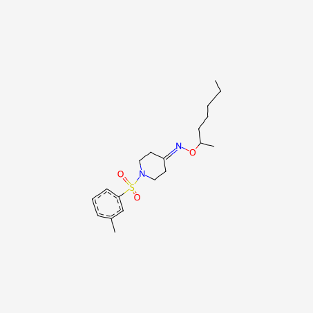 CCCCCC(C)ON=C1CCN(S(=O)(=O)c2cccc(C)c2)CC1